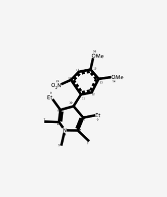 CCC1=C(C)N(C)C(C)=C(CC)C1c1cc(OC)c(OC)cc1[N+](=O)[O-]